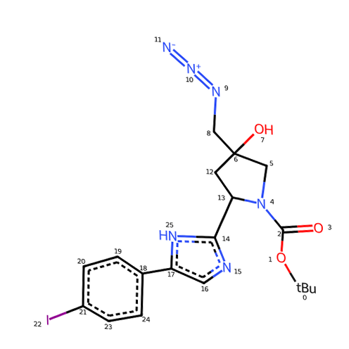 CC(C)(C)OC(=O)N1CC(O)(CN=[N+]=[N-])CC1c1ncc(-c2ccc(I)cc2)[nH]1